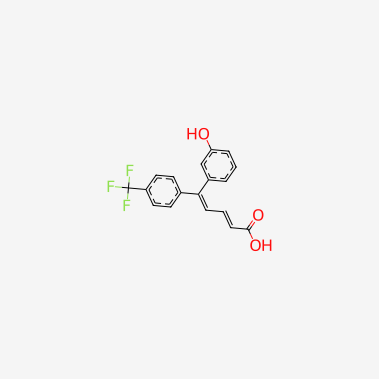 O=C(O)C=CC=C(c1ccc(C(F)(F)F)cc1)c1cccc(O)c1